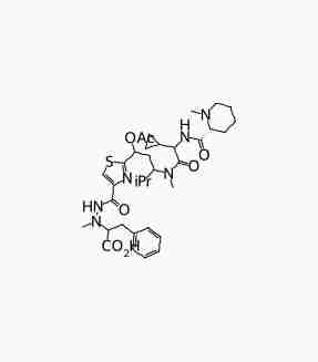 CC(=O)OC(CC(C(C)C)N(C)C(=O)C(NC(=O)[C@H]1CCCCN1C)C1CC1)c1nc(C(=O)NN(C)C(Cc2ccccc2)C(=O)O)cs1